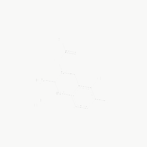 CCC(=O)ON1Cc2c(ccc(Cl)c2Cl)NC1N.Cl.O